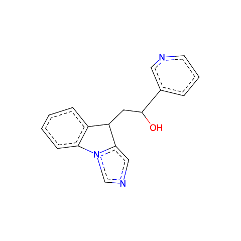 OC(CC1c2ccccc2-n2cncc21)c1cccnc1